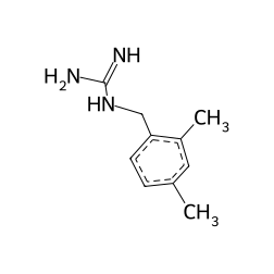 Cc1ccc(CNC(=N)N)c(C)c1